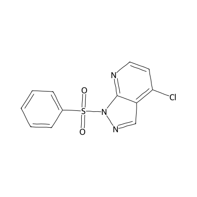 O=S(=O)(c1ccccc1)n1ncc2c(Cl)ccnc21